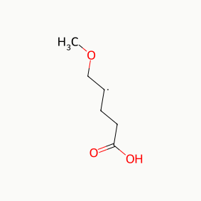 COC[CH]CCC(=O)O